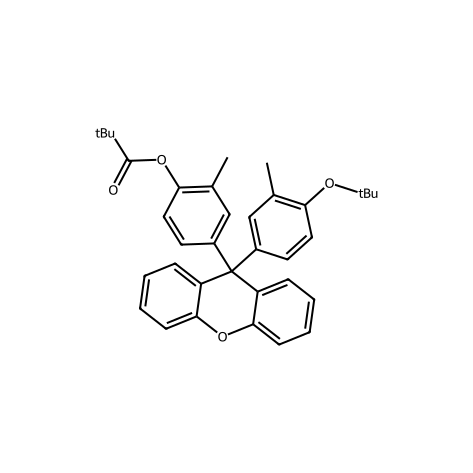 Cc1cc(C2(c3ccc(OC(C)(C)C)c(C)c3)c3ccccc3Oc3ccccc32)ccc1OC(=O)C(C)(C)C